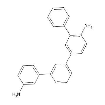 Nc1cccc(-c2cccc(-c3ccc(N)c(-c4ccccc4)c3)c2)c1